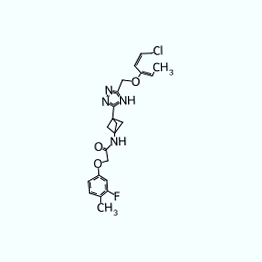 C/C=C(\C=C/CCl)OCc1nnc(C23CC(NC(=O)COc4ccc(C)c(F)c4)(C2)C3)[nH]1